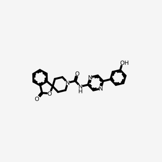 O=C1OC2(CCN(C(=O)Nc3cnc(-c4cccc(O)c4)cn3)CC2)c2ccccc21